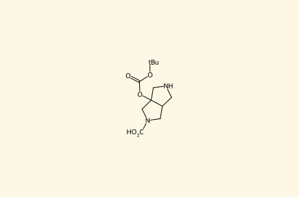 CC(C)(C)OC(=O)OC12CNCC1CN(C(=O)O)C2